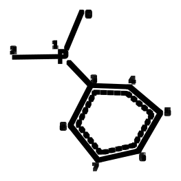 CP(C)c1ccccc1